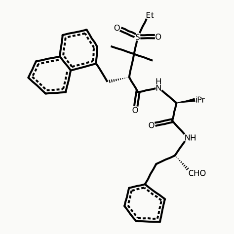 CCS(=O)(=O)C(C)(C)[C@@H](Cc1cccc2ccccc12)C(=O)N[C@H](C(=O)N[C@H](C=O)Cc1ccccc1)C(C)C